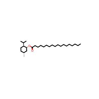 CCCCCCCCCCCCCCCCCC(=O)O[C@@H]1C[C@H](C)CC[C@H]1C(C)C